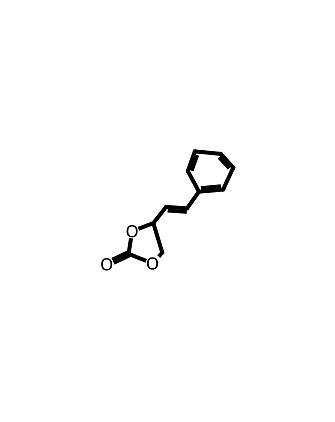 O=C1OCC(C=Cc2ccccc2)O1